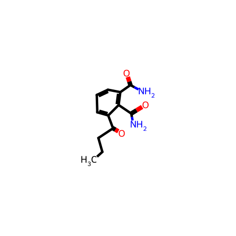 CCCC(=O)c1cccc(C(N)=O)c1C(N)=O